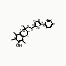 Cc1c(C)c2c(c(C)c1O)CCC(C)(CCc1ccc(-c3ccccn3)s1)O2